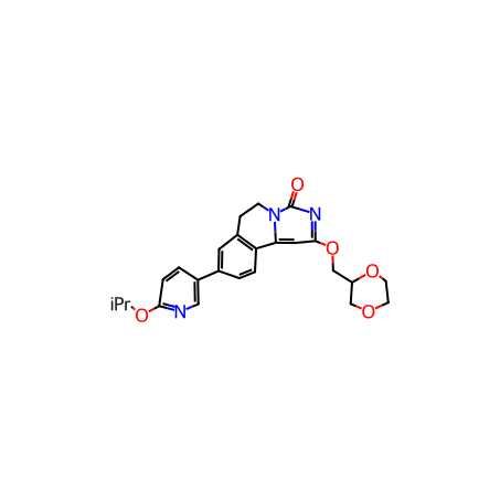 CC(C)Oc1ccc(-c2ccc3c(c2)CCn2c-3cc(OCC3COCCO3)nc2=O)cn1